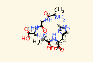 C[C@H](N)C(=O)NCC(=O)NCC(=O)O.C[C@H](N)C(=O)N[C@@H](Cc1c[nH]cn1)C(=O)O